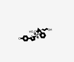 O=C(O)C1(NS(=O)(=O)c2ccc(-c3ccc(Cl)cc3)s2)C[C@@]1(CCCO)c1ccccc1